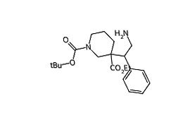 CCOC(=O)C1(C(CN)c2ccccc2)CCCN(C(=O)OC(C)(C)C)C1